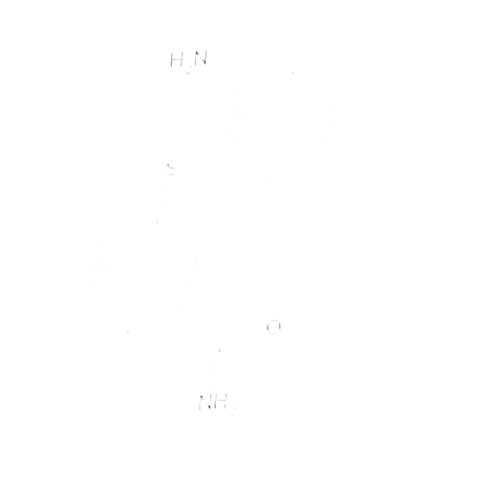 Cc1ccc(Sc2cccc(C(N)=O)c2)c(N)c1